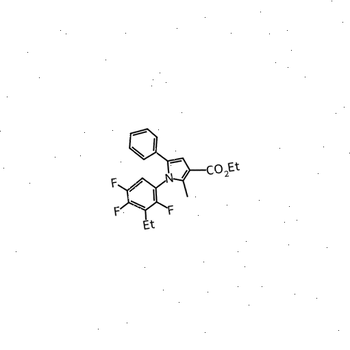 CCOC(=O)c1cc(-c2ccccc2)n(-c2cc(F)c(F)c(CC)c2F)c1C